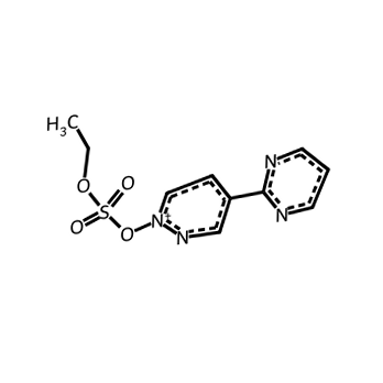 CCOS(=O)(=O)O[n+]1ccc(-c2ncccn2)cn1